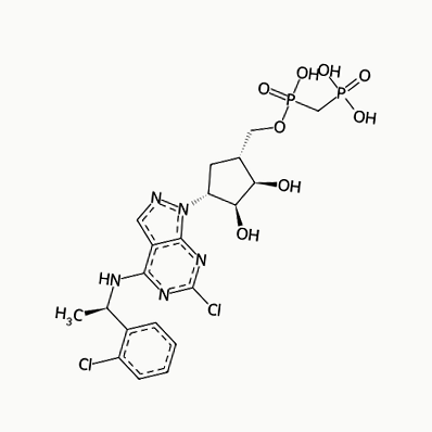 C[C@@H](Nc1nc(Cl)nc2c1cnn2[C@@H]1C[C@H](COP(=O)(O)CP(=O)(O)O)[C@@H](O)[C@H]1O)c1ccccc1Cl